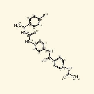 CC(=O)Oc1ccc(C(=O)Nc2ccc(NC(=S)NC(C)c3ccc(F)cc3)cc2)cc1